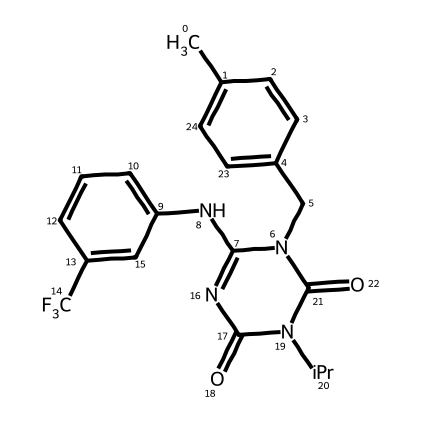 Cc1ccc(Cn2c(Nc3cccc(C(F)(F)F)c3)nc(=O)n(C(C)C)c2=O)cc1